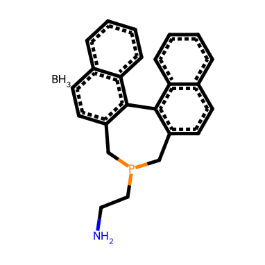 B.NCCP1Cc2ccc3ccccc3c2-c2c(ccc3ccccc23)C1